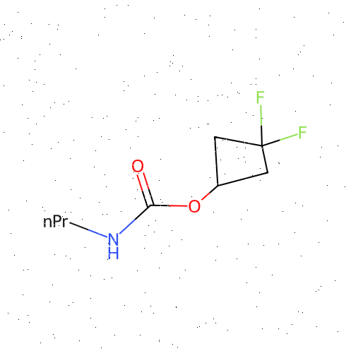 CCCNC(=O)OC1CC(F)(F)C1